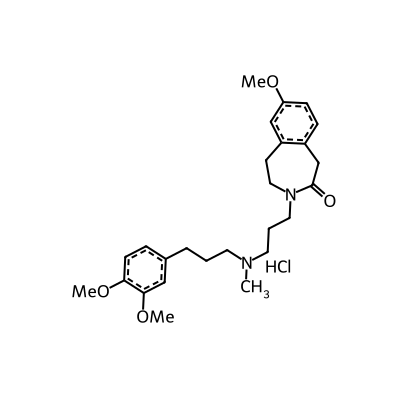 COc1ccc2c(c1)CCN(CCCN(C)CCCc1ccc(OC)c(OC)c1)C(=O)C2.Cl